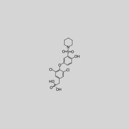 O=P(O)(O)Cc1cc(Cl)c(Oc2ccc(O)c(S(=O)(=O)N3CCCCC3)c2)c(Cl)c1